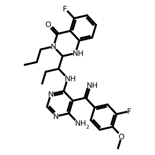 CCCN1C(=O)c2c(F)cccc2NC1C(CC)Nc1ncnc(N)c1C(=N)c1ccc(OC)c(F)c1